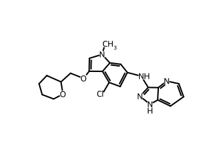 Cn1cc(OCC2CCCCO2)c2c(Cl)cc(Nc3n[nH]c4cccnc34)cc21